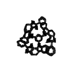 c1ccc(-c2nc3ccc4c5ccccc5n(-c5cc(-n6c7ccccc7c7ccc8nc(-c9ccccc9)sc8c76)cc(-n6c7ccccc7c7ccc8nc(-c9ccccc9)sc8c76)c5)c4c3s2)cc1